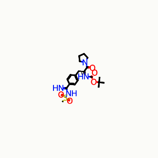 CC(C)(C)OC(=O)N[C@@H](Cc1ccc(C(=N)NS(C)(=O)=O)cc1)C(=O)N1CCCC1